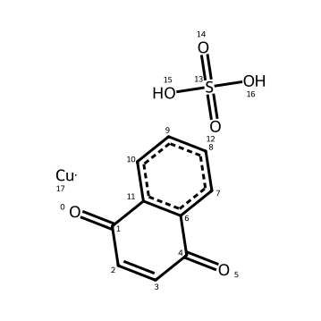 O=C1C=CC(=O)c2ccccc21.O=S(=O)(O)O.[Cu]